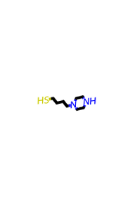 SCCCCN1CCNCC1